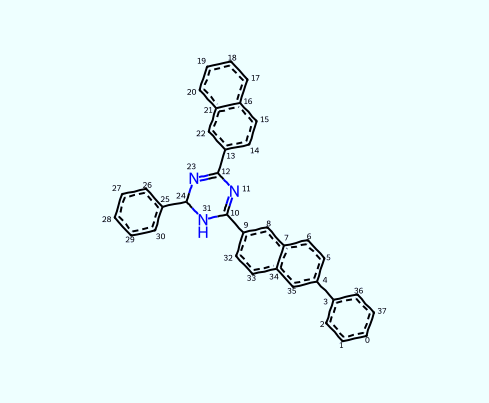 c1ccc(-c2ccc3cc(C4=NC(c5ccc6ccccc6c5)=NC(c5ccccc5)N4)ccc3c2)cc1